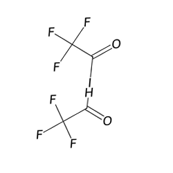 O=C([IH]C(=O)C(F)(F)F)C(F)(F)F